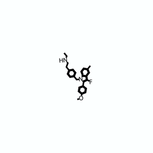 CCNCCc1ccc(Cn2c(-c3ccc(OC)cc3)c(F)c3cc(C)ccc32)cc1